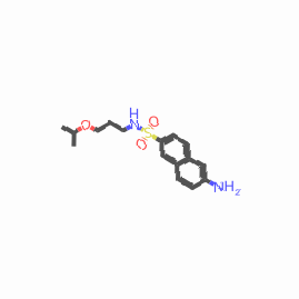 CC(C)OCCCNS(=O)(=O)c1ccc2cc(N)ccc2c1